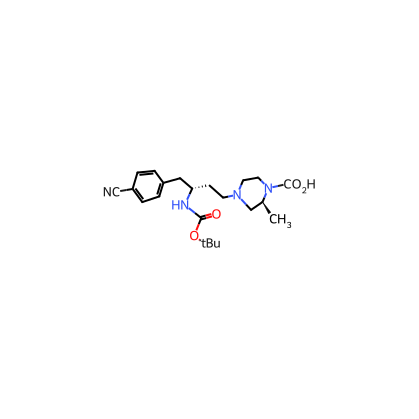 C[C@H]1CN(CC[C@@H](Cc2ccc(C#N)cc2)NC(=O)OC(C)(C)C)CCN1C(=O)O